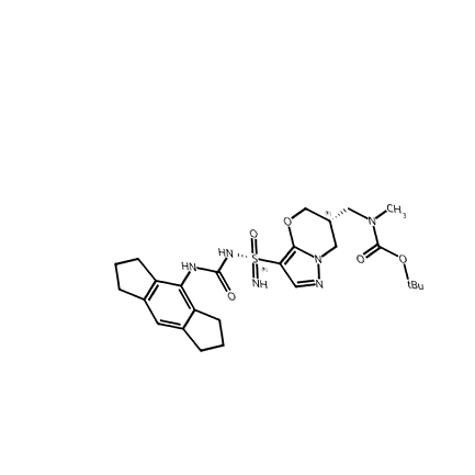 CN(C[C@H]1COc2c([S@@](=N)(=O)NC(=O)Nc3c4c(cc5c3CCC5)CCC4)cnn2C1)C(=O)OC(C)(C)C